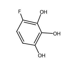 Oc1ccc(F)c(O)c1O